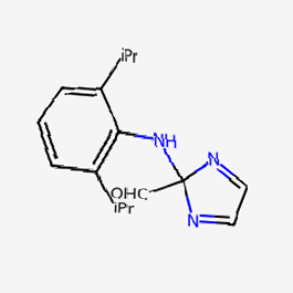 CC(C)c1cccc(C(C)C)c1NC1(C=O)N=CC=N1